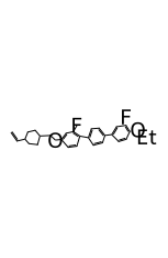 C=CC1CCC(COc2ccc(-c3ccc(-c4ccc(OCC)c(F)c4)cc3)c(F)c2)CC1